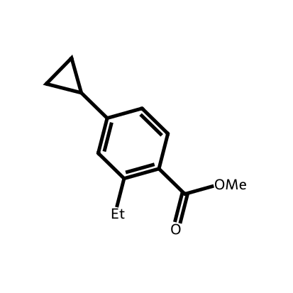 CCc1cc(C2CC2)ccc1C(=O)OC